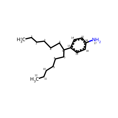 CCCCCCC(CCCCCC)c1ccc(N)cc1